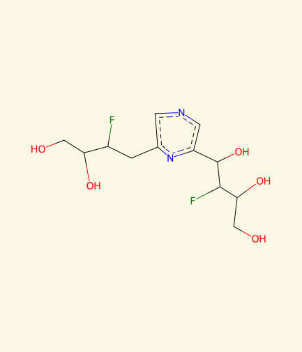 OCC(O)C(F)Cc1cncc(C(O)C(F)C(O)CO)n1